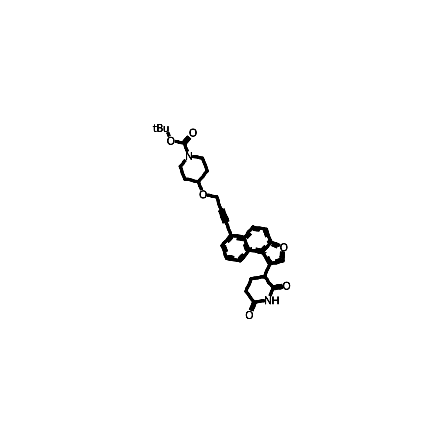 CC(C)(C)OC(=O)N1CCC(OCC#Cc2cccc3c2ccc2occ(C4CCC(=O)NC4=O)c23)CC1